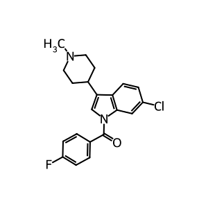 CN1CCC(c2cn(C(=O)c3ccc(F)cc3)c3cc(Cl)ccc23)CC1